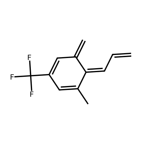 C=C/C=c1/c(C)cc(C(F)(F)F)cc1=C